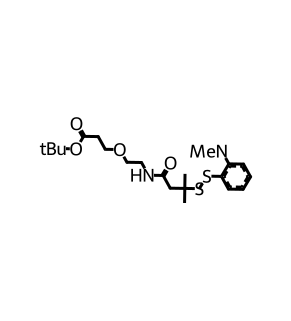 CNc1ccccc1SSC(C)(C)CC(=O)NCCOCCC(=O)OC(C)(C)C